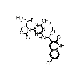 Cc1nc(N[C@H](C)c2cc3cc(Cl)ccc3[nH]c2=O)nc(N2C(=O)OC[C@@H]2[C@H](C)F)n1